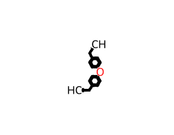 C#CCc1ccc(Oc2ccc(CC#C)cc2)cc1